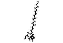 C=CC(=O)OC(F)(CCCCCCCCCCCCCCCCCC)C(F)(F)F